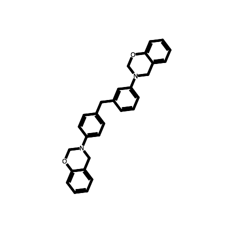 c1cc(Cc2ccc(N3COc4ccccc4C3)cc2)cc(N2COc3ccccc3C2)c1